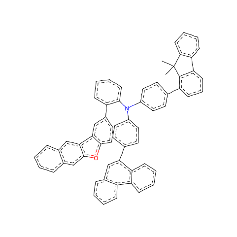 CC1(C)c2ccccc2-c2cccc(-c3ccc(N(c4ccc(-c5cc6ccccc6c6ccccc56)cc4)c4ccccc4-c4ccc5oc6cc7ccccc7cc6c5c4)cc3)c21